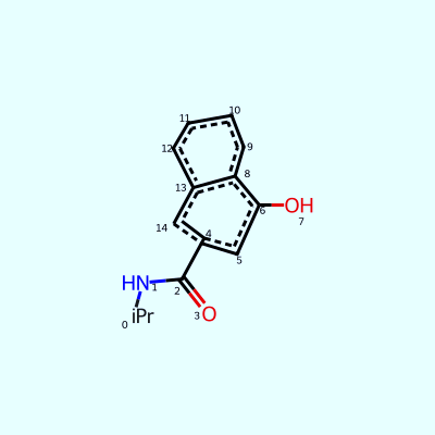 CC(C)NC(=O)c1cc(O)c2ccccc2c1